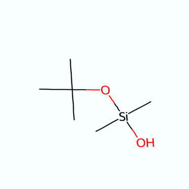 CC(C)(C)O[Si](C)(C)O